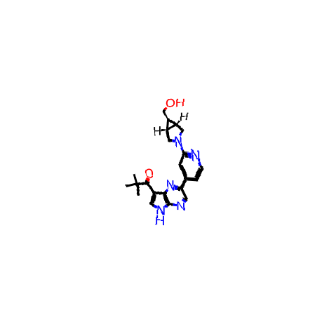 CC(C)(C)C(=O)c1c[nH]c2ncc(-c3ccnc(N4C[C@@H]5[C@@H](CO)[C@@H]5C4)c3)nc12